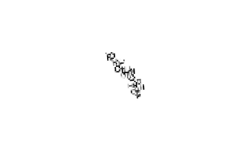 CCc1nn(Cc2cccc(C)n2)c2cccc(NC(=O)c3cnc4cc(C(=O)NNC(=O)OC(C)(C)C)ccn34)c12